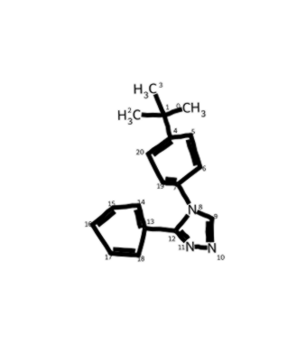 CC(C)(C)c1ccc(-n2cnnc2-c2ccccc2)cc1